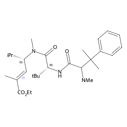 CCOC(=O)/C(C)=C/[C@H](C(C)C)N(C)C(=O)[C@H](NC(=O)C(NC)C(C)(C)c1ccccc1)C(C)(C)C